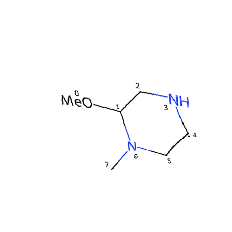 COC1CN[CH]CN1C